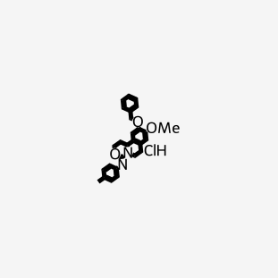 COc1cc2c(cc1OCc1ccccc1)C1CCOC(=Nc3ccc(C)cc3)N1CC2.Cl